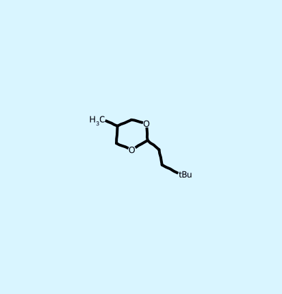 CC1COC(CCC(C)(C)C)OC1